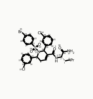 CC(C)C[C@H](NC(=O)C1=CCC(c2cccc(Cl)c2)N(S(=O)(=O)c2ccc(Br)cc2)C1c1cccc(Cl)c1)C(N)=O